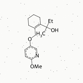 CCC(C)(O)C1=C(COc2ccc(OC)nc2)CCCC1